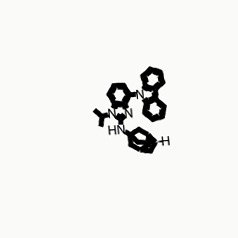 CC(C)n1c(NC23CC4CC(C2)[C@@H](C4)C3)nc2c(-n3c4ccccc4c4ccccc43)cccc21